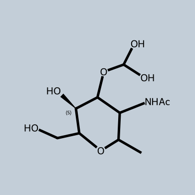 CC(=O)NC1C(C)OC(CO)[C@@H](O)C1OC(O)O